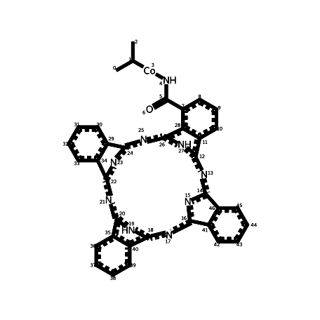 C[CH](C)[Co][NH]C(=O)c1cccc2c3nc4nc(nc5[nH]c(nc6nc(nc([nH]3)c12)-c1ccccc1-6)c1ccccc51)-c1ccccc1-4